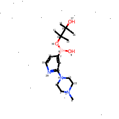 CN1CCN(c2cc(B(O)OC(C)(C)C(C)(C)O)ccn2)CC1